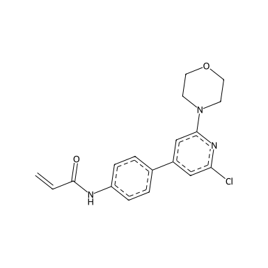 C=CC(=O)Nc1ccc(-c2cc(Cl)nc(N3CCOCC3)c2)cc1